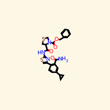 NC(=O)c1cc(C2CC2)ccc1-c1csc(NC(=O)C2CSCN2C(=O)OCc2ccccc2)n1